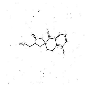 C=CCC1(CCCC(=O)OCC)CCc2c(F)cccc2C1=O